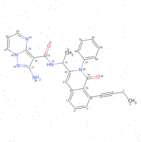 CCC#Cc1cccc2cc(C(C)NC(=O)c3c(N)nn4cccnc34)n(-c3ccccc3)c(=O)c12